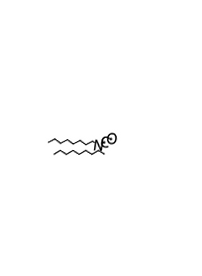 CCCCCCCCC.CCCCCCCCN=C=O